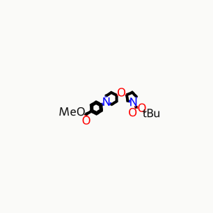 COC(=O)c1ccc(N2CCC(OC3CCN(C(=O)OC(C)(C)C)C3)CC2)cc1